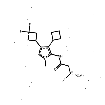 CO[C@@H](CC(=O)Nc1c(C2CCC2)c(C2CC(F)(F)C2)nn1C)C(F)(F)F